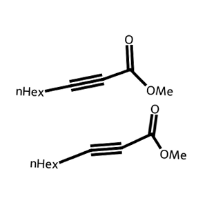 CCCCCCC#CC(=O)OC.CCCCCCC#CC(=O)OC